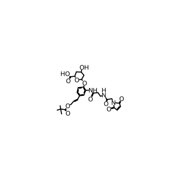 CC(C)(C)C(=O)OC/C=C/c1ccc(OC2CC(O)CC(C(=O)O)O2)c(NC(=O)CCNC(=O)CN2C(=O)C=CC2=O)c1